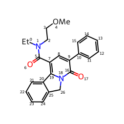 CCN(CCOC)C(=O)c1cc(-c2ccccc2)c(=O)n2c1-c1ccccc1C2